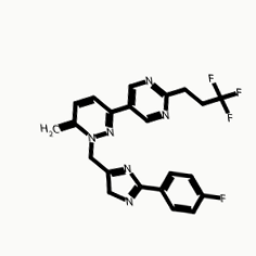 C=C1C=CC(c2cnc(CCC(F)(F)F)nc2)=NN1CC1=NC(c2ccc(F)cc2)=NC1